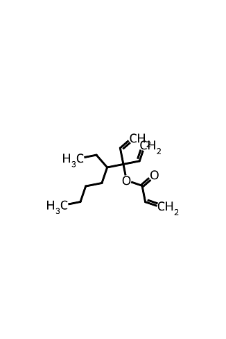 C=CC(=O)OC(C=C)(C=C)C(CC)CCCC